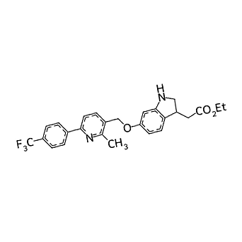 CCOC(=O)CC1CNc2cc(OCc3ccc(-c4ccc(C(F)(F)F)cc4)nc3C)ccc21